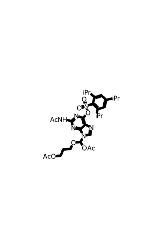 CC(=O)Nc1nc(OS(=O)(=O)c2c(C(C)C)cc(C(C)C)cc2C(C)C)c2ncn(C(OCCCOC(C)=O)OC(C)=O)c2n1